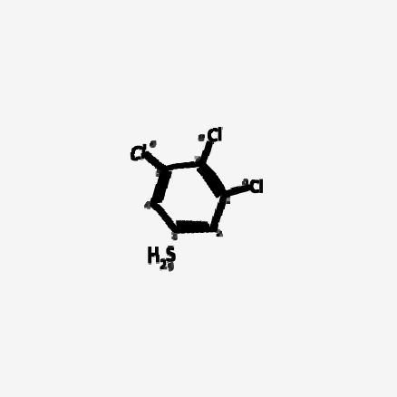 Clc1cccc(Cl)c1Cl.S